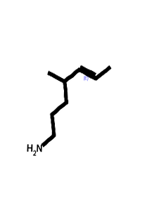 C/C=C/C(C)CCCN